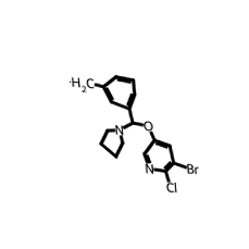 [CH2]c1cccc(C(Oc2cnc(Cl)c(Br)c2)N2CCCC2)c1